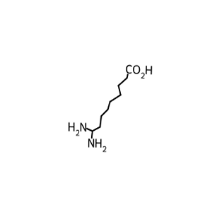 NC(N)CCCCCCCC(=O)O